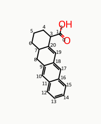 O=C(O)C1CCCC2Cc3cc4ccccc4cc3C=C21